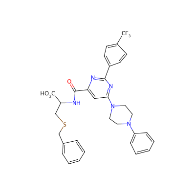 O=C(NC(CSCc1ccccc1)C(=O)O)c1cc(N2CCN(c3ccccc3)CC2)nc(-c2ccc(C(F)(F)F)cc2)n1